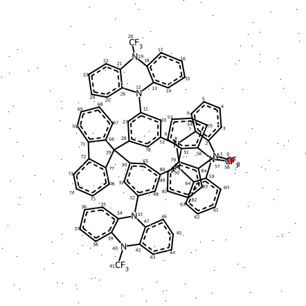 FC(F)(F)N1c2ccccc2N(c2cc(N3c4ccccc4N(C(F)(F)F)c4ccccc43)cc(C3(c4cc(N5c6ccccc6N(C(F)(F)F)c6ccccc65)cc(N5c6ccccc6N(C(F)(F)F)c6ccccc65)c4)c4ccccc4-c4ccccc43)c2)c2ccccc21